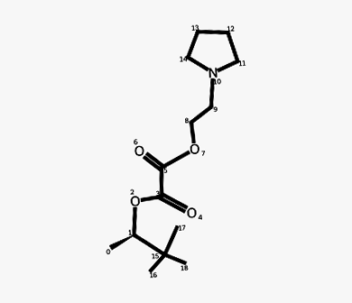 C[C@@H](OC(=O)C(=O)OCCN1CCCC1)C(C)(C)C